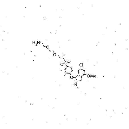 COc1cc(Cl)cc2c1C[C@H](N(C)C)[C@H]2Oc1ccc(S(=O)(=O)NCCOCCOCCN)cc1C